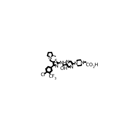 C[C@@H]1CCCN1Cc1sc(NC(O)c2cnc(N3CCN(CC(=O)O)CC3)cn2)nc1-c1ccc(Cl)c(C(F)(F)F)c1